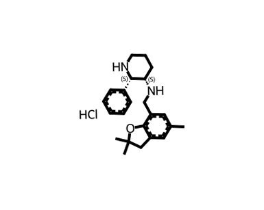 Cc1cc(CN[C@H]2CCCN[C@H]2c2ccccc2)c2c(c1)CC(C)(C)O2.Cl